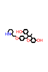 CC1=C(c2cccc(O)c2)C(c2ccc(OCCC3CCCCN3)cc2)Oc2ccc(O)cc21